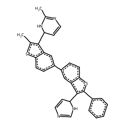 CC1=NC=CC(c2c(C)sc3ccc(-c4ccc5sc(-c6ccccc6)c(C6C=CN=CN6)c5c4)cc23)N1